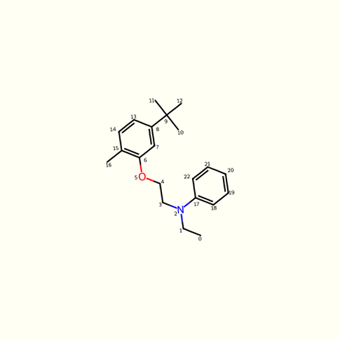 CCN(CCOc1cc(C(C)(C)C)ccc1C)c1ccccc1